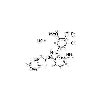 CCOc1c(Cl)cc(-c2nn(C3Cc4ccccc4C3)c3ncnc(N)c23)cc1OC.Cl